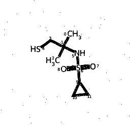 CC(C)(CS)NS(=O)(=O)C1CC1